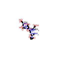 CN[C@@H](CCC(=O)O)C(=O)NC(CNC(=O)C(CCC(=O)O)NC(=O)C(CNC(=O)[C@H](CCN)N1C(=O)C=CC1=O)NC(=O)[C@H](CCC(=O)O)NC)C(=O)O